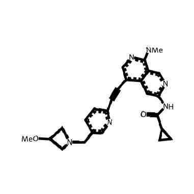 CNc1ncc(C#Cc2ccc(CN3CC(OC)C3)cn2)c2cc(NC(=O)C3CC3)ncc12